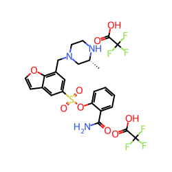 C[C@@H]1CN(Cc2cc(S(=O)(=O)Oc3ccccc3C(N)=O)cc3ccoc23)CCN1.O=C(O)C(F)(F)F.O=C(O)C(F)(F)F